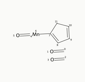 C=O.C=O.C=O.[Mn][C]1=CC=CC1